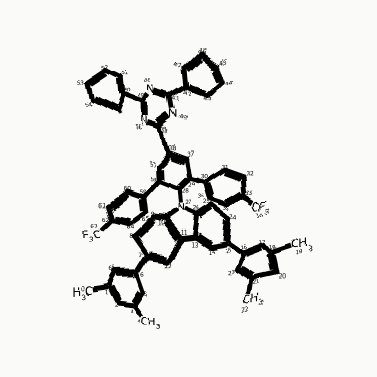 Cc1cc(C)cc(-c2ccc3c(c2)c2cc(-c4cc(C)cc(C)c4)ccc2n3-c2c(-c3ccc(C(F)(F)F)cc3)cc(-c3nc(-c4ccccc4)nc(-c4ccccc4)n3)cc2-c2ccc(C(F)(F)F)cc2)c1